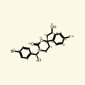 CC[C@@H](c1ccc(Br)cc1)N1CC[C@@](CCO)(c2ccc(F)cc2)OC1=O